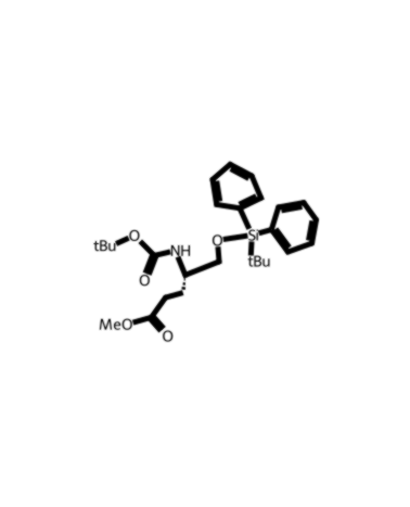 COC(=O)CC[C@@H](CO[Si](c1ccccc1)(c1ccccc1)C(C)(C)C)NC(=O)OC(C)(C)C